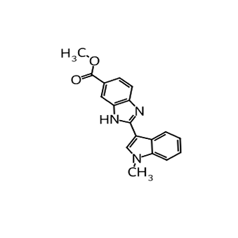 COC(=O)c1ccc2nc(-c3cn(C)c4ccccc34)[nH]c2c1